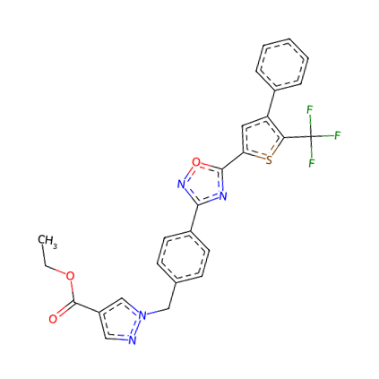 CCOC(=O)c1cnn(Cc2ccc(-c3noc(-c4cc(-c5ccccc5)c(C(F)(F)F)s4)n3)cc2)c1